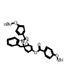 CCCCOc1ccc(C(=O)OC2=CC(C(=O)O)C(Cc3ccccc3)(OC(=O)c3ccc(OCCCC)cc3)C=C2)cc1